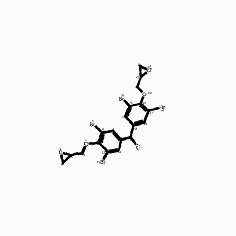 C[C]C(c1cc(Br)c(OCC2CO2)c(Br)c1)c1cc(Br)c(OCC2CO2)c(Br)c1